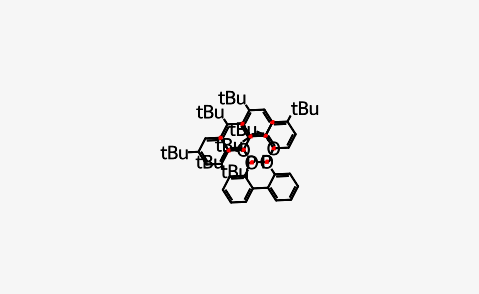 CC(C)(C)c1ccc(OP(Oc2ccc(C(C)(C)C)cc2C(C)(C)C)c2ccccc2-c2ccccc2P(Oc2ccc(C(C)(C)C)cc2C(C)(C)C)Oc2ccc(C(C)(C)C)cc2C(C)(C)C)c(C(C)(C)C)c1